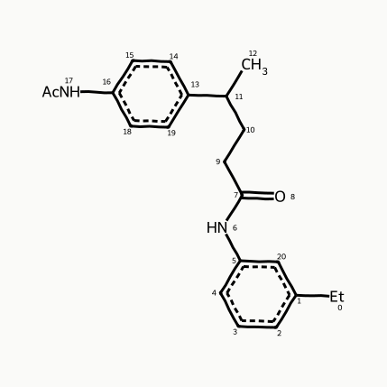 CCc1cccc(NC(=O)CCC(C)c2ccc(NC(C)=O)cc2)c1